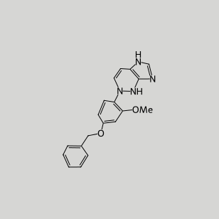 COc1cc(OCc2ccccc2)ccc1N1C=Cc2[nH]cnc2N1